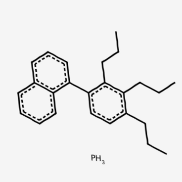 CCCc1ccc(-c2cccc3ccccc23)c(CCC)c1CCC.P